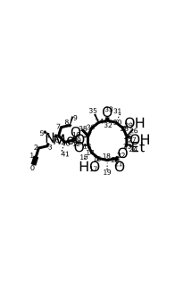 C#CCCN(C)[C@H]1C[C@@H](C)OC(O[C@@H]2[C@@H](C)[C@H](O)[C@@H](C)C(=O)O[C@H](CC)[C@@](C)(O)[C@H](O)[C@@H](C)C(=O)[C@H](C)C[C@@]2(C)OC)[C@@H]1C